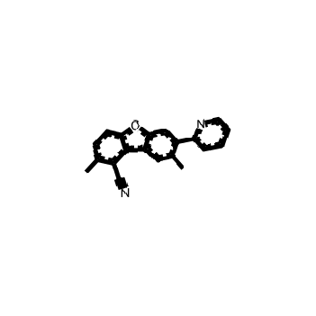 Cc1cc2c(cc1-c1ccccn1)oc1ccc(C)c(C#N)c12